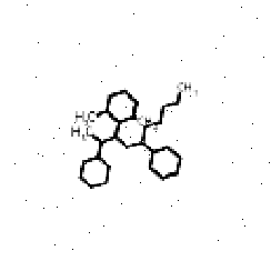 CCCCCC(CC(C(C)C1CCCCC1)C1C(C)CCCC1C)C1CCCCC1